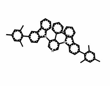 Cc1cc(C)c(-c2ccc3c(c2)c2ccccc2n3-c2cncc(-n3c4ccccc4c4cc(-c5c(C)cc(C)cc5C)ccc43)c2-c2ccccc2C#N)c(C)c1